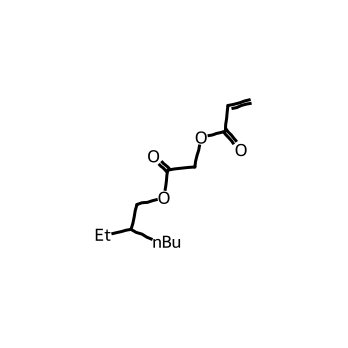 C=CC(=O)OCC(=O)OCC(CC)CCCC